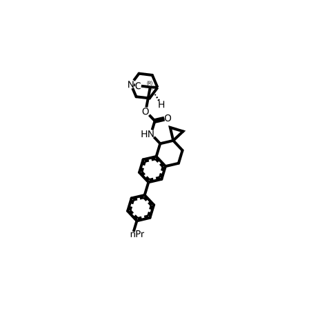 CCCc1ccc(-c2ccc3c(c2)CCC2(CC2)C3NC(=O)O[C@H]2CN3CCC2CC3)cc1